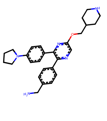 NCc1ccc(-c2ncc(OCC3CCNCC3)nc2-c2ccc(N3CCCC3)cc2)cc1